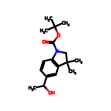 CC(O)c1ccc2c(c1)C(C)(C)CN2C(=O)OC(C)(C)C